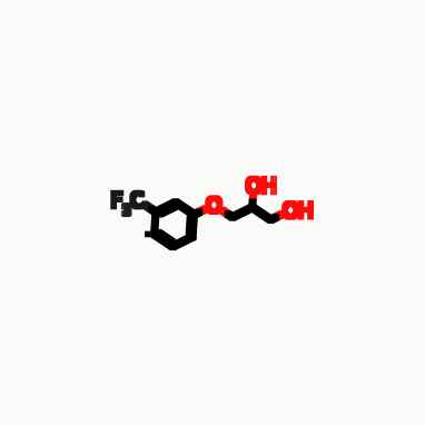 OCC(O)COc1cc[c]c(C(F)(F)F)c1